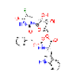 O=C(N[C@@H](Cc1c[nH]c2ccccc12)C(=O)OC[C@H]1O[C@@H](n2cc(F)c(=O)[nH]c2=O)[C@H](O)[C@@H]1O)OCc1ccccc1